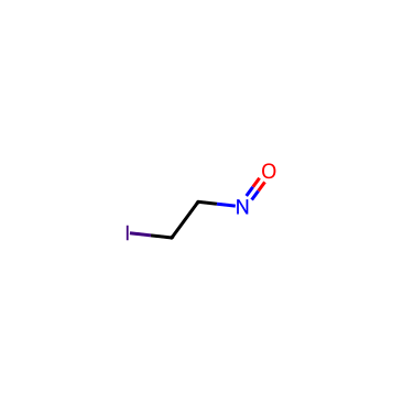 O=NCCI